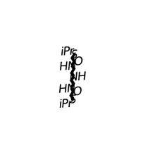 CC(C)SCC(=O)NCCNCCNC(=O)CSC(C)C